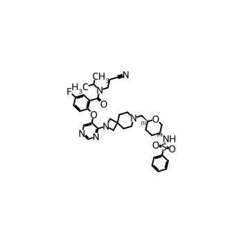 CC(C)N(CCC#N)C(=O)c1cc(F)ccc1Oc1cncnc1N1CC2(CCN(C[C@@H]3CC[C@@H](NS(=O)(=O)c4ccccc4)CO3)CC2)C1